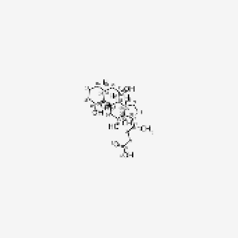 C[C@H](CCC(=O)O)[C@H]1CC[C@H]2[C@@H]3[C@H](O)C[C@@H]4CCCC(O)[C@]4(C)[C@H]3CC(O)[C@]12C